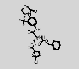 O=C(N[C@H](CNC(=O)c1ccc(Cl)s1)C(=O)Nc1ccc(N2CCOCC2=O)c(C(F)(F)F)c1)OCc1ccccc1